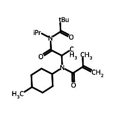 C=C(C)C(=O)N(C1CCC(C)CC1)C(C)C(=O)N(C(=O)C(C)(C)C)C(C)C